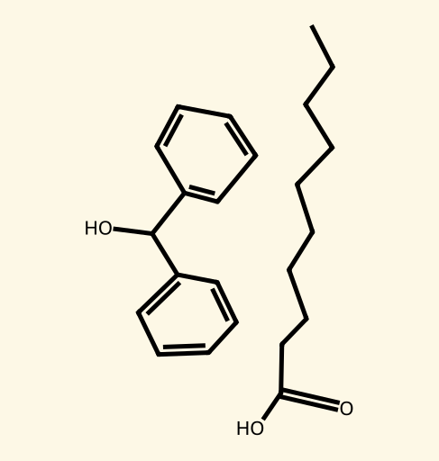 CCCCCCCCCC(=O)O.OC(c1ccccc1)c1ccccc1